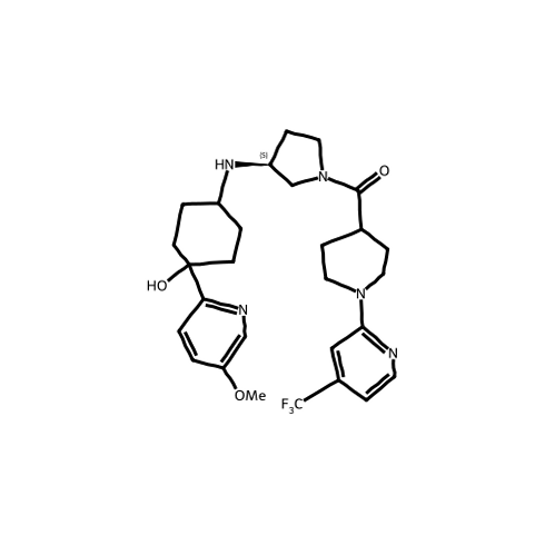 COc1ccc(C2(O)CCC(N[C@H]3CCN(C(=O)C4CCN(c5cc(C(F)(F)F)ccn5)CC4)C3)CC2)nc1